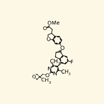 COC(=O)CC1COc2cc(O[C@@H]3CCc4c(-c5c(C)nc(OCC6(C)COC6)nc5C)cc(F)cc43)ccc21